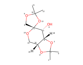 CC1(C)O[C@H]2[C@@H](O)[C@]3(COC(C)(C)O3)OC[C@H]2O1